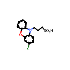 O=S(=O)(O)CCCN1c2ccccc2Oc2cc(Cl)ccc21